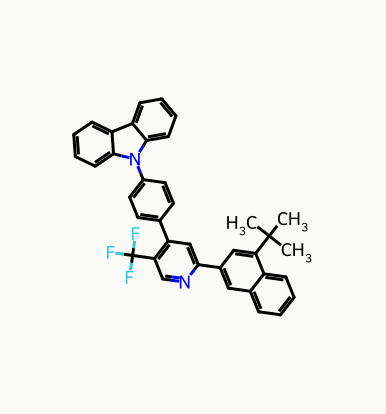 CC(C)(C)c1cc(-c2cc(-c3ccc(-n4c5ccccc5c5ccccc54)cc3)c(C(F)(F)F)cn2)cc2ccccc12